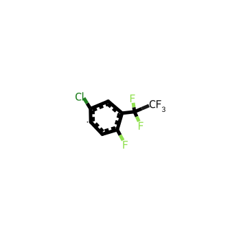 Fc1c[c]c(Cl)cc1C(F)(F)C(F)(F)F